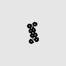 c1ccc(N2c3ccccc3-c3ccc4c5ccc6c7c(ccc(c8ccc2c3c48)c75)-c2ccccc2N6c2ccccc2)cc1